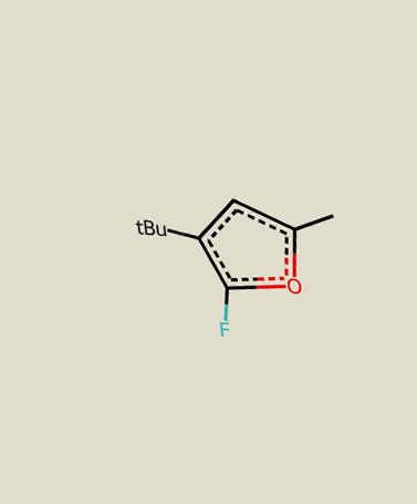 Cc1cc(C(C)(C)C)c(F)o1